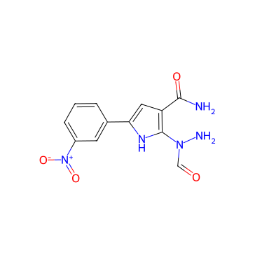 NC(=O)c1cc(-c2cccc([N+](=O)[O-])c2)[nH]c1N(N)C=O